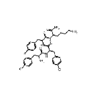 NCCCCC(NC(=O)C(Cc1ccc(Cl)cc1)NC(=O)C(Cc1ccc(Cl)cc1)NC(=O)C(N)Cc1ccc(Cl)cc1)C(N)=O